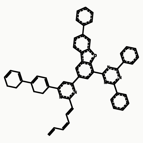 C=C/C=C\C=C\c1nc(C2=CC=C(C3=CC=CCC3)CC2)cc(-c2cc(-c3nc(-c4ccccc4)nc(-c4ccccc4)n3)c3oc4cc(-c5ccccc5)ccc4c3c2)n1